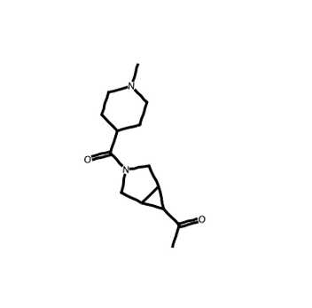 CC(=O)C1C2CN(C(=O)C3CCN(C)CC3)CC21